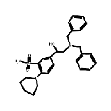 NS(=O)(=O)c1cc(C(O)CN(Cc2ccccc2)Cc2ccccc2)ccc1N1CCCCC1